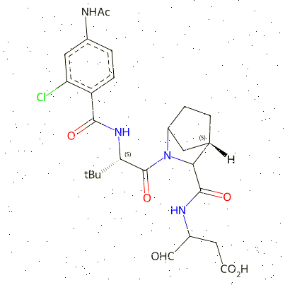 CC(=O)Nc1ccc(C(=O)N[C@H](C(=O)N2C3CC[C@@H](C3)C2C(=O)NC(C=O)CC(=O)O)C(C)(C)C)c(Cl)c1